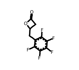 O=C1CC(Cc2c(F)c(F)c(F)c(F)c2F)O1